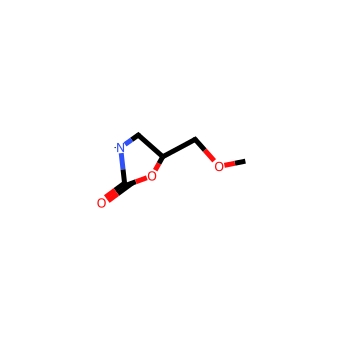 COCC1C[N]C(=O)O1